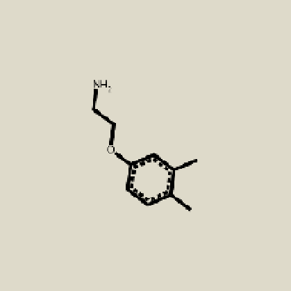 Cc1ccc(OCCN)cc1C